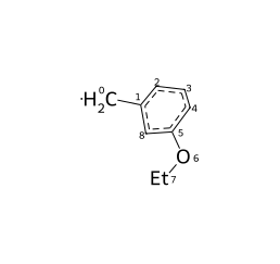 [CH2]c1cccc(OCC)c1